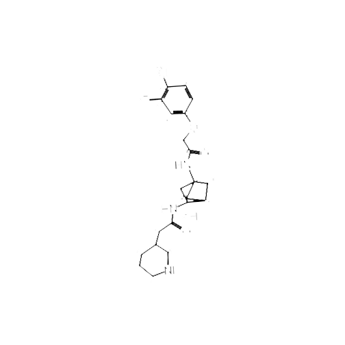 O=C(CC1CCCNC1)N[C@H]1CC2(NC(=O)COc3ccc(Cl)c(F)c3)CC1C2